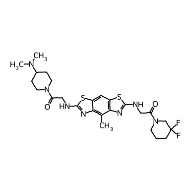 Cc1c2nc(NCC(=O)N3CCC(N(C)C)CC3)sc2cc2sc(NCC(=O)N3CCCC(F)(F)C3)nc12